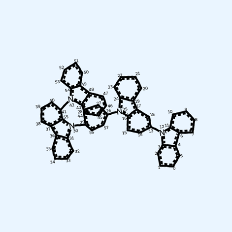 c1ccc2c(c1)c1ccccc1n2-c1ccc2c(c1)c1ccccc1n2-c1ccc(-n2c3ccccc3c3cccc(-n4c5ccccc5c5ccccc54)c32)cc1